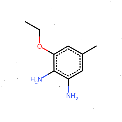 CCOc1cc(C)cc(N)c1N